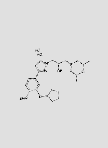 COc1ccc(-c2ccn(CC(O)CN3CC(C)OC(C)C3)n2)cc1OC1CCCC1.Cl.Cl